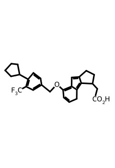 O=C(O)CC1CCC2=CC3=C(OCc4ccc(C5CCCC5)c(C(F)(F)F)c4)C=CCC3=C21